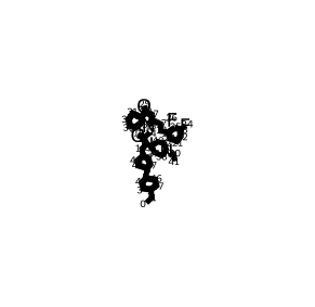 CCc1ccc(-c2ccc(CN(C(=O)Cn3c(CCc4cccc(F)c4F)cc(=O)c4ccccc43)C3CCN(CC)CC3)cc2)cc1